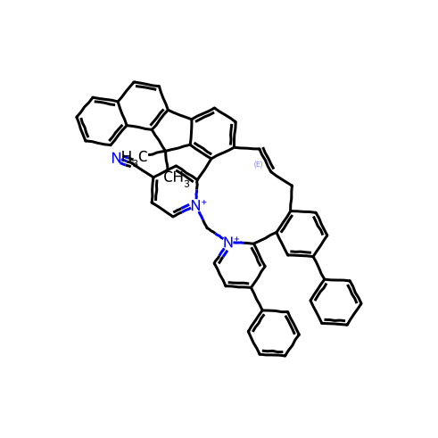 CC1(C)c2c(ccc3c2-c2cc(C#N)cc[n+]2C[n+]2ccc(-c4ccccc4)cc2-c2cc(-c4ccccc4)ccc2C/C=C/3)-c2ccc3ccccc3c21